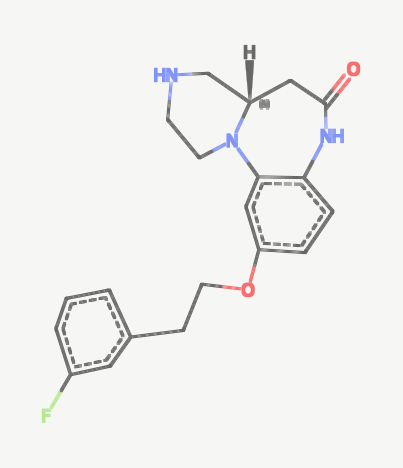 O=C1C[C@H]2CNCCN2c2cc(OCCc3cccc(F)c3)ccc2N1